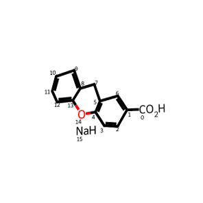 O=C(O)c1ccc2c(c1)Cc1ccccc1O2.[NaH]